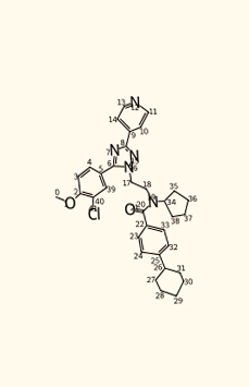 COc1ccc(-c2nc(-c3ccncc3)nn2CCN(C(=O)c2ccc(C3CCCCC3)cc2)C2CCCC2)cc1Cl